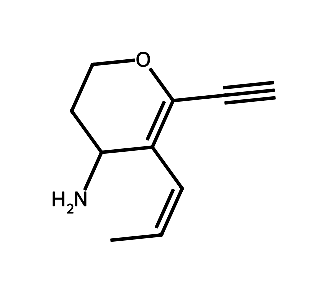 C#CC1=C(/C=C\C)C(N)CCO1